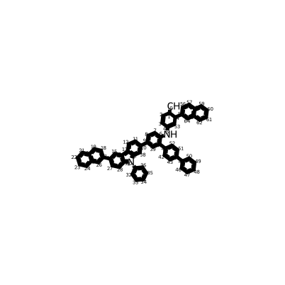 CC1C=CC(Nc2ccc(-c3ccc4c5cc(-c6ccc7ccccc7c6)ccc5n(-c5ccccc5)c4c3)cc2-c2ccc(-c3ccccc3)cc2)=CC1c1ccc2ccccc2c1